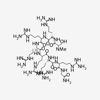 CNC(CO)C(=O)N[C@@H](CCCNC(=N)N)C(=O)NC(CCCNC(=N)N)C(=O)N[C@@H](CCCNC(=N)N)C(=O)NC(CCCNC(=N)N)C(=O)N[C@@H](CCCNC(=N)N)C(=O)NC(CCCNC(=N)N)C(=O)NCC(N)=O